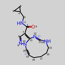 O=C(NCC1CC1)c1cnn2c1/N=C/NCCCC/C=C\2